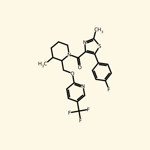 Cc1nc(C(=O)N2CCCC(C)C2COc2ccc(C(F)(F)F)cn2)c(-c2ccc(F)cc2)s1